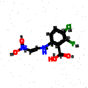 O=C(O)c1c(N/C=C/[N+](=O)[O-])ccc(Cl)c1F